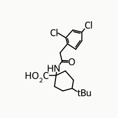 CC(C)(C)C1CCC(NC(=O)Cc2ccc(Cl)cc2Cl)(C(=O)O)CC1